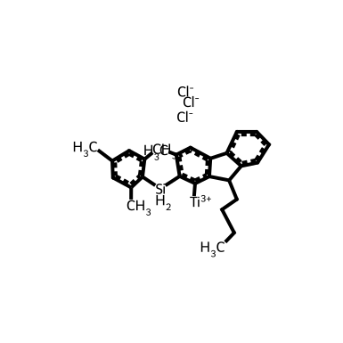 CCCCC1c2ccccc2-c2cc(C)c([SiH2]c3c(C)cc(C)cc3C)[c]([Ti+3])c21.[Cl-].[Cl-].[Cl-]